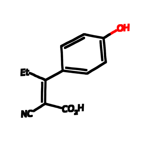 CCC(=C(C#N)C(=O)O)c1ccc(O)cc1